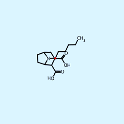 CCCCCCN1C2CCC1C(C(=O)O)C(C(=O)O)C2